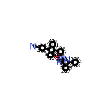 N#Cc1ccc(-c2c3ccccc3c(-c3cccc4c3oc3nc5c6ccccc6c(-c6ccccc6)nc5n34)c3ccccc23)cc1